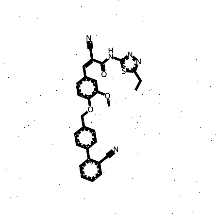 CCc1nnc(NC(=O)C(C#N)=Cc2ccc(OCc3ccc(-c4ccccc4C#N)cc3)c(OC)c2)s1